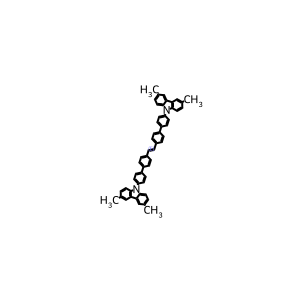 Cc1ccc2c(c1)c1cc(C)ccc1n2-c1ccc(-c2ccc(/C=C/c3ccc(-c4ccc(-n5c6ccc(C)cc6c6cc(C)ccc65)cc4)cc3)cc2)cc1